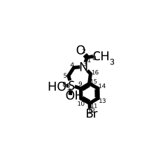 CC(=O)N1CCS(O)(O)c2cc(Br)ccc2C1